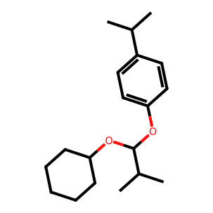 CC(C)c1ccc(OC(OC2CCCCC2)C(C)C)cc1